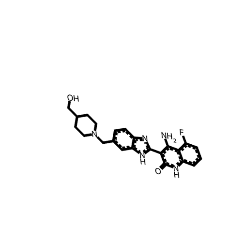 Nc1c(-c2nc3ccc(CN4CCC(CO)CC4)cc3[nH]2)c(=O)[nH]c2cccc(F)c12